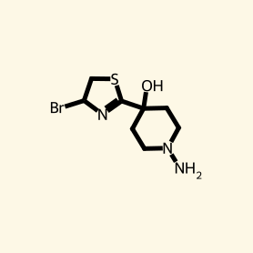 NN1CCC(O)(C2=NC(Br)CS2)CC1